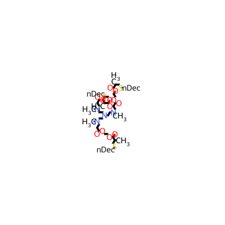 CCCCCCCCCCSCC(C)C(=O)OCCOC(=O)CCN(C)CCN(CCN(C)CCC(=O)OCCOC(=O)C(C)CSCCCCCCCCCC)CCN(C)CCC(=O)OCCOC(=O)C(C)CSCCCCCCCCCC